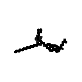 CCCCCCCCCCCCCC(=O)OC(COC1CC[C@@]2(C)C(=CCC3C2CC[C@@]2(C)C3CC[C@@H]2[C@H](C)CCCC(C)C)C1)COP(=O)([O-])OCC[N+](C)(C)C